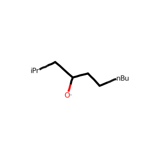 CCCCCCC([O])CC(C)C